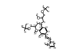 COC(COC(C)(C)C)CN(CC(COC(C)(C)C)OC)c1ccc(/N=N/c2scc[n+]2C)c(C)c1